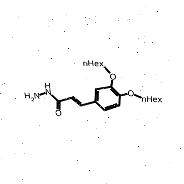 CCCCCCOc1ccc(C=CC(=O)NN)cc1OCCCCCC